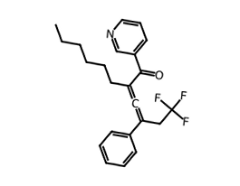 CCCCCCC(=C=C(CC(F)(F)F)c1ccccc1)C(=O)c1cccnc1